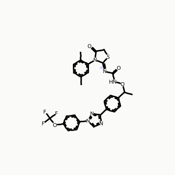 Cc1ccc(C)c(N2C(=O)CS/C2=N\C(=O)NOC(C)c2ccc(-c3ncn(-c4ccc(OC(F)(F)F)cc4)n3)cc2)c1